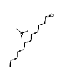 CCCCCCCCCCCC=O.CN(C)C